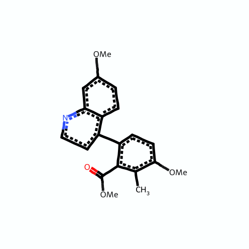 COC(=O)c1c(-c2ccnc3cc(OC)ccc23)ccc(OC)c1C